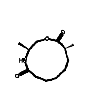 C[C@@H]1CCCCCC(=O)N[C@@H](C)COC1=O